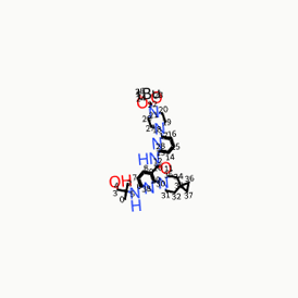 CC(C)(CO)Nc1ccc(C(=O)Nc2cccc(N3CCN(C(=O)OC(C)(C)C)CC3)n2)c(N2CCC3(CC2)CC3)n1